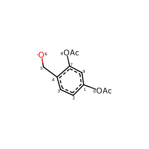 CC(=O)Oc1ccc(C[O])c(OC(C)=O)c1